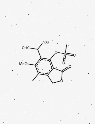 CCCCC(C=O)c1c(OC)c(C)c2c(c1OS(C)(=O)=O)C(=O)OC2